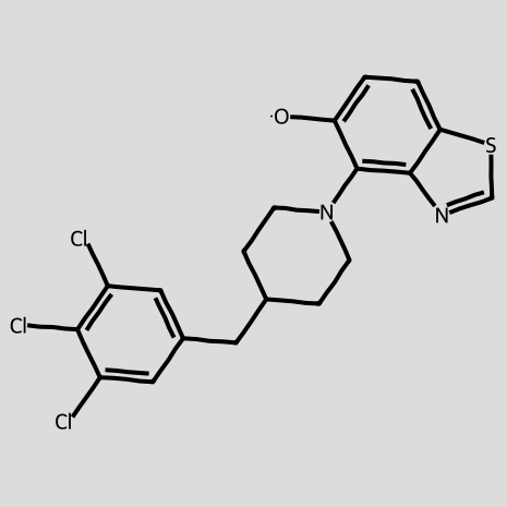 [O]c1ccc2scnc2c1N1CCC(Cc2cc(Cl)c(Cl)c(Cl)c2)CC1